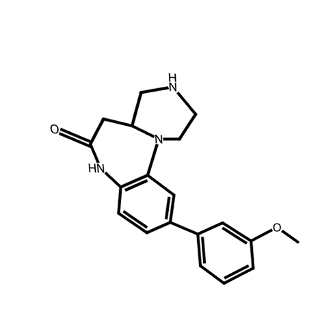 COc1cccc(-c2ccc3c(c2)N2CCNCC2CC(=O)N3)c1